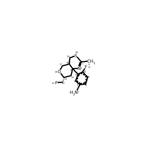 CC1=NC2(c3cc(N)ccc3F)C[C@H](CF)OCC2CS1